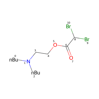 CCCCN(CCCC)CCOC(=O)C(Br)Br